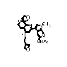 CC(=O)Nc1cc2c(-c3cc(OCCC4COC4)c4c(n3)C3(CCOC3)OCC4)cn(C)c2cn1